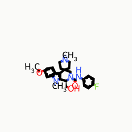 COc1ccc2c3c(n(C)c2c1)[C@H](CO)N(C(=O)Nc1ccc(F)cc1)CC31CCN(C)CC1